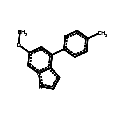 BOc1cc(-c2ccc(C)cc2)c2ccnn2c1